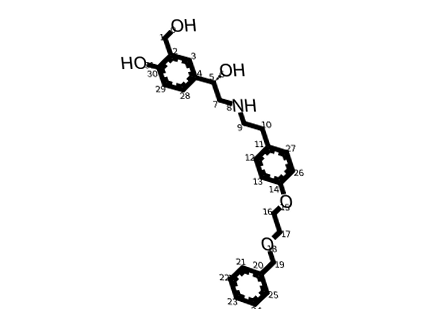 OCc1cc([C@H](O)CNCCc2ccc(OCCOCc3c[c]ccc3)cc2)ccc1O